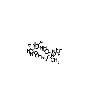 COc1ncnc(C2CC2)c1-c1cc(NCc2ccc(-c3nc(C(F)(F)F)cn3C(C)C)cc2)c(C2CC2)nn1